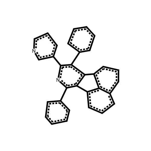 c1ccc(-c2nc(-c3cccnc3)c(-c3ccccc3)c3c2-c2cccc4cccc-3c24)cc1